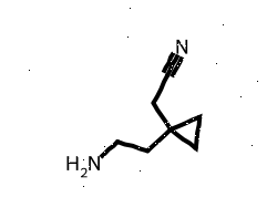 N#CCC1(CCN)CC1